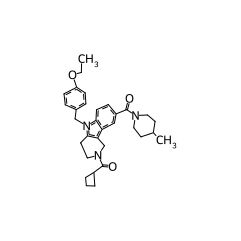 CCOc1ccc(Cn2c3c(c4cc(C(=O)N5CCC(C)CC5)ccc42)CN(C(=O)C2CCC2)CC3)cc1